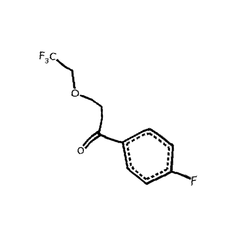 O=C(COCC(F)(F)F)c1ccc(F)cc1